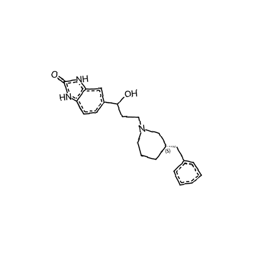 O=c1[nH]c2ccc(C(O)CCN3CCC[C@@H](Cc4ccccc4)C3)cc2[nH]1